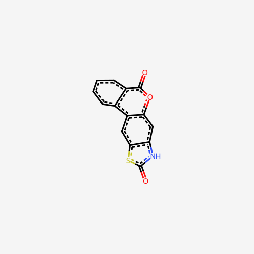 O=c1[nH]c2cc3oc(=O)c4ccccc4c3cc2s1